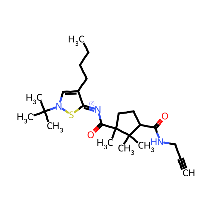 C#CCNC(=O)C1CCC(C)(C(=O)/N=c2\sn(C(C)(C)C)cc2CCCC)C1(C)C